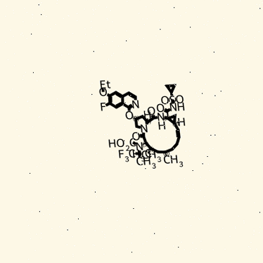 CCOc1cc2ccnc(O[C@@H]3C[C@H]4C(=O)N[C@]5(C(=O)NS(=O)(=O)C6CC6)C[C@H]5C=CCC[C@H](C)C[C@@H](C)[C@H](N(C(=O)O)C(C)(C)C(F)(F)F)C(=O)N4C3)c2cc1F